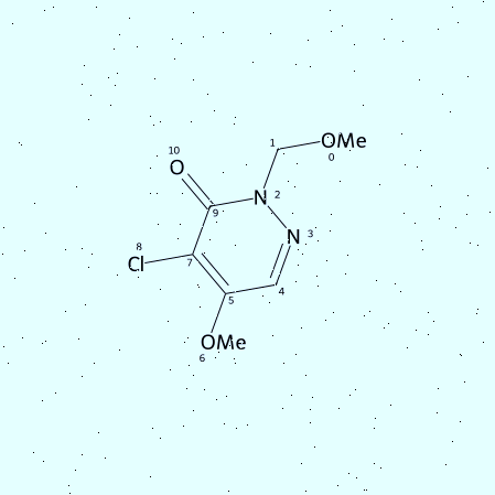 COCn1ncc(OC)c(Cl)c1=O